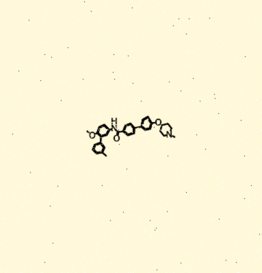 COc1ccc(NC(=O)c2ccc(-c3ccc(OC4CCN(C)CC4)cc3)cc2)cc1-c1cccc(C)c1